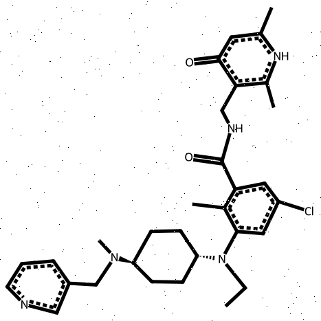 CCN(c1cc(Cl)cc(C(=O)NCc2c(C)[nH]c(C)cc2=O)c1C)[C@H]1CC[C@H](N(C)Cc2cccnc2)CC1